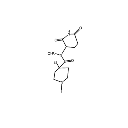 CCC1(C(=O)N(C=O)C2CCC(=O)NC2=O)CCN(I)CC1